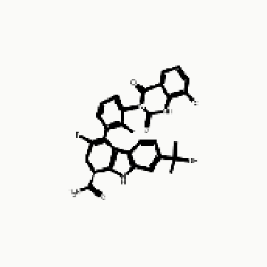 Cc1c(C2=C(F)C[C@H](C(N)=O)c3[nH]c4cc(C(C)(C)O)ccc4c32)cccc1-n1c(=O)[nH]c2c(Cl)cccc2c1=O